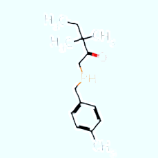 CCC(C)(C)C(=O)CPCc1ccc(C)cc1